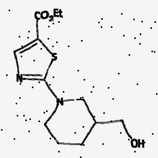 CCOC(=O)c1cnc(N2CCCC(CO)C2)s1